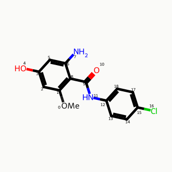 COc1cc(O)cc(N)c1C(=O)Nc1ccc(Cl)cc1